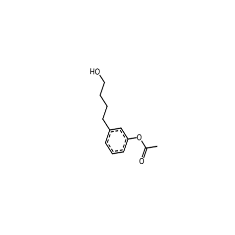 CC(=O)Oc1cccc(CCCCO)c1